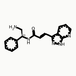 NC[C@@H](NC(=O)C=Cc1n[nH]c2ncccc12)c1ccccc1